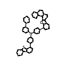 c1ccc(-c2cccc(N(c3ccc(-c4cccc5c4oc4c5ccc5ccc6ccccc6c54)cc3)c3ccc(-c4cccc5c4sc4ccccc45)cc3)c2)cc1